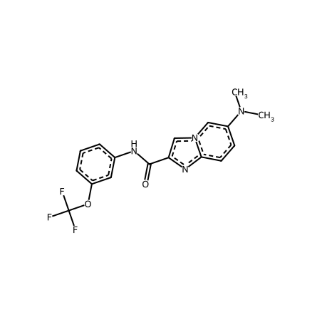 CN(C)c1ccc2nc(C(=O)Nc3cccc(OC(F)(F)F)c3)cn2c1